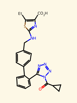 CCc1sc(NCc2ccc(-c3ccccc3-c3nnnn3C(=O)C3CC3)cc2)nc1C(=O)O